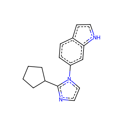 c1cn(-c2ccc3cc[nH]c3c2)c(C2CCCC2)n1